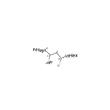 CCCCCCCC(CCC)CC(C)CCCCCC